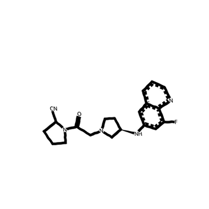 N#CC1CCCN1C(=O)CN1CC[C@@H](Nc2cc(F)c3ncccc3c2)C1